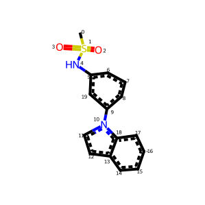 CS(=O)(=O)Nc1cccc(-n2ccc3cc[c]cc32)c1